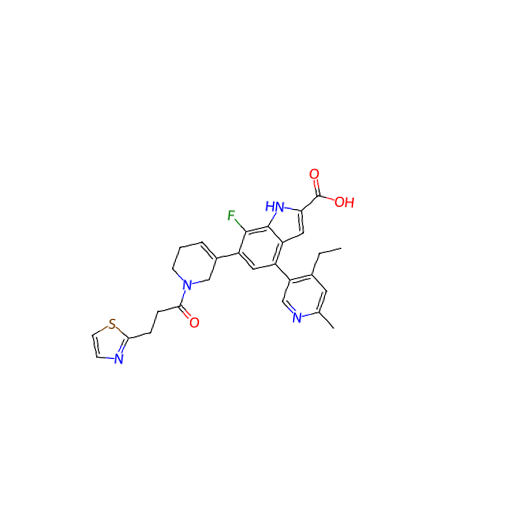 CCc1cc(C)ncc1-c1cc(C2=CCCN(C(=O)CCc3nccs3)C2)c(F)c2[nH]c(C(=O)O)cc12